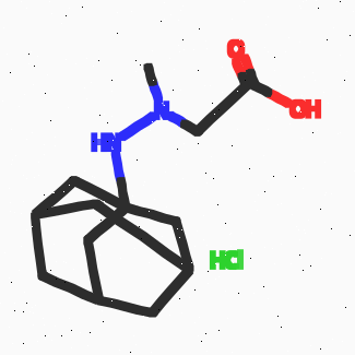 CN(CC(=O)O)NC12CC3CC(CC(C3)C1)C2.Cl